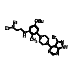 CCN(CC)CCNc1cc(OCC(C)C)cc(N2CCN(c3ncnc4[nH]nc(Br)c34)CC2)c1C